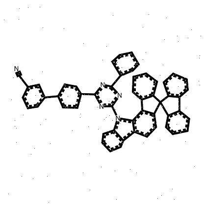 N#Cc1cccc(-c2ccc(-c3nc(-c4ccccc4)nc(-n4c5ccccc5c5ccc6c(c54)-c4ccccc4C64c5ccccc5-c5ccccc54)n3)cc2)c1